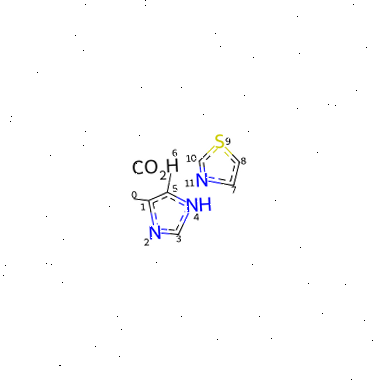 Cc1nc[nH]c1C(=O)O.c1cscn1